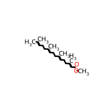 COC(=O)/C=C(\C)CC/C=C(\C)CC/C=C(\C)CCC=C(C)C